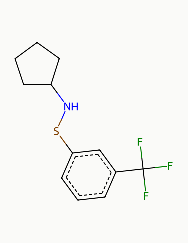 FC(F)(F)c1cccc(SNC2CCCC2)c1